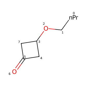 CCCCOC1CC(=O)C1